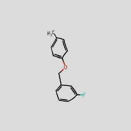 [CH2]c1ccc(OCc2cccc(F)c2)cc1